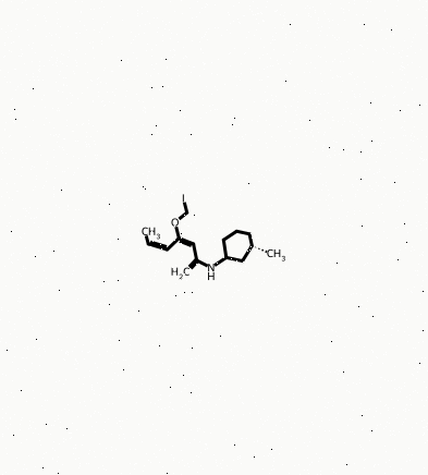 C=C(/C=C(\C=C/C)OCI)NC1CCC[C@H](C)C1